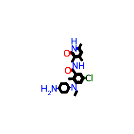 CCN(c1cc(Cl)cc(C(=O)NCc2c(C)cc(C)[nH]c2=O)c1C)[C@H]1CC[C@H](N)CC1